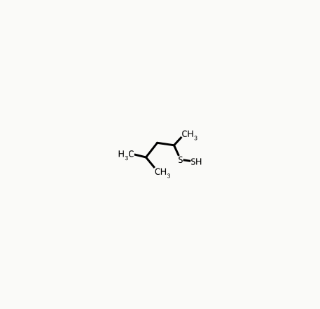 CC(C)CC(C)SS